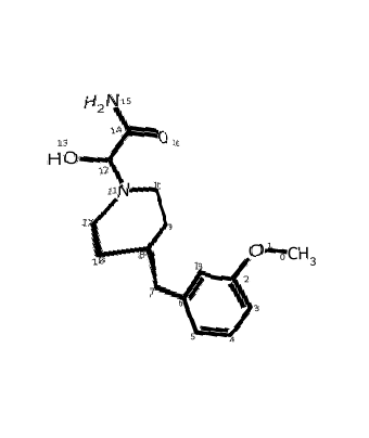 COc1cccc(CC2CCN(C(O)C(N)=O)CC2)c1